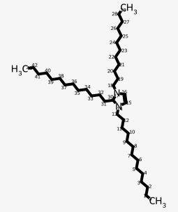 CCCCCCCCCCCCCCN1C=CN(CCCCCCCCCCCC)C1CCCCCCCCCCCCC